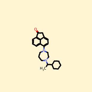 CC(C1CCCCC1)N1CCCN(c2ccc3c4c(cccc24)C(=O)C3)CC1